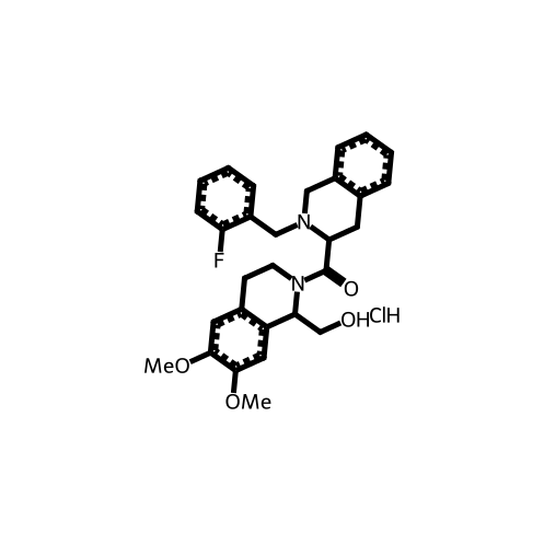 COc1cc2c(cc1OC)C(CO)N(C(=O)C1Cc3ccccc3CN1Cc1ccccc1F)CC2.Cl